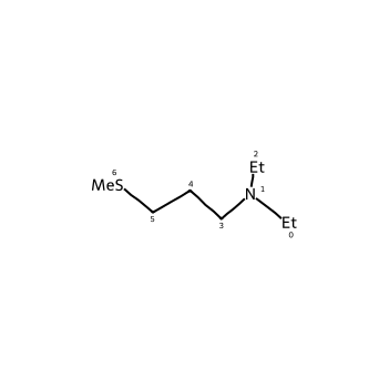 CCN(CC)CCCSC